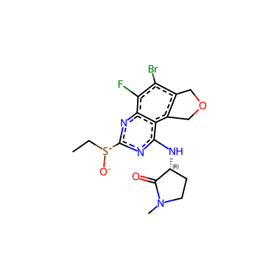 CC[S+]([O-])c1nc(N[C@@H]2CCN(C)C2=O)c2c3c(c(Br)c(F)c2n1)COC3